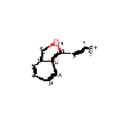 CCC=Cc1occ2ccccc12